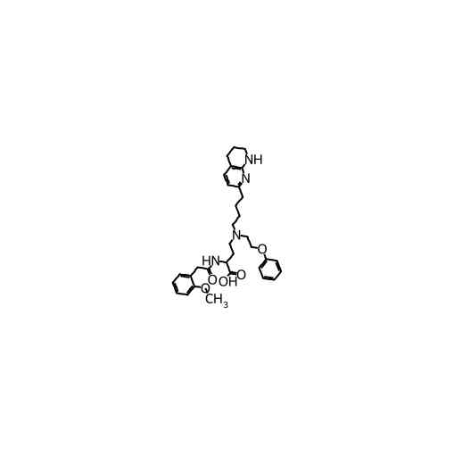 COc1ccccc1CC(=O)NC(CCN(CCCCc1ccc2c(n1)NCCC2)CCOc1ccccc1)C(=O)O